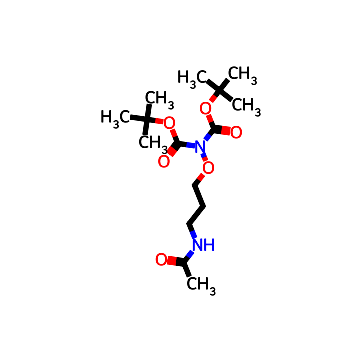 CC(=O)NCCCON(C(=O)OC(C)(C)C)C(=O)OC(C)(C)C